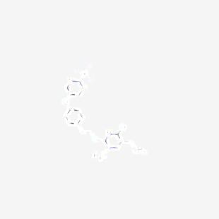 CCc1cn(C)c(OCCc2ccc(Oc3cnc(C(F)(F)F)nc3)cc2)nc1=O